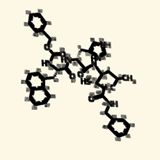 CC(C)C[C@H](NC(=O)[C@@H](Cc1c[nH]cn1)NC(=O)[C@H](Cc1cccc2ccccc12)NC(=O)OCc1ccccc1)[C@@H](S)CC(=O)NCc1ccccc1